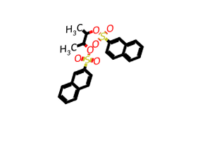 CC(OS(=O)(=O)c1ccc2ccccc2c1)C(C)OS(=O)(=O)c1ccc2ccccc2c1